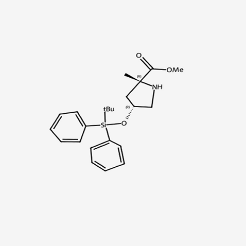 COC(=O)[C@@]1(C)C[C@@H](O[Si](c2ccccc2)(c2ccccc2)C(C)(C)C)CN1